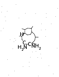 CC1CC2CC[C@H](C(C)CCC(N)CC(C)(N)C1)C(C)CC2C